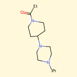 CCC(=O)N1CCC(N2CCN(C(C)C)CC2)CC1